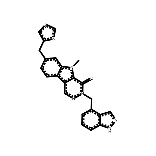 Cn1c2cc(Cc3cscn3)ccc2c2cnn(Cc3cccc4[nH]ncc34)c(=O)c21